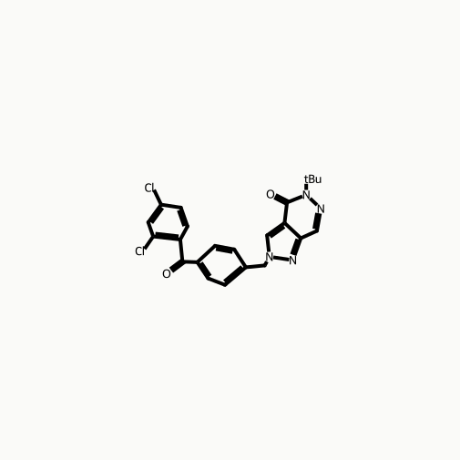 CC(C)(C)n1ncc2nn(Cc3ccc(C(=O)c4ccc(Cl)cc4Cl)cc3)cc2c1=O